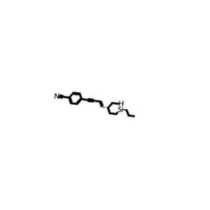 CCC[Si@H]1CC[C@H](C=CC#Cc2ccc(C#N)cc2)CC1